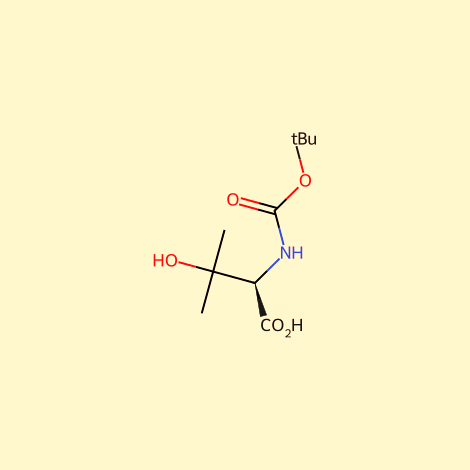 CC(C)(C)OC(=O)N[C@@H](C(=O)O)C(C)(C)O